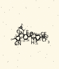 Cc1cc(C(=O)N(CC2CC2)c2cccc(C(=O)Nc3c(C)cc(C(F)(C(F)(F)F)C(F)(F)F)cc3Br)c2F)ccc1C#N